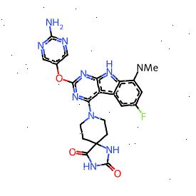 CNc1cc(F)cc2c1[nH]c1nc(Oc3cnc(N)nc3)nc(N3CCC4(CC3)NC(=O)NC4=O)c12